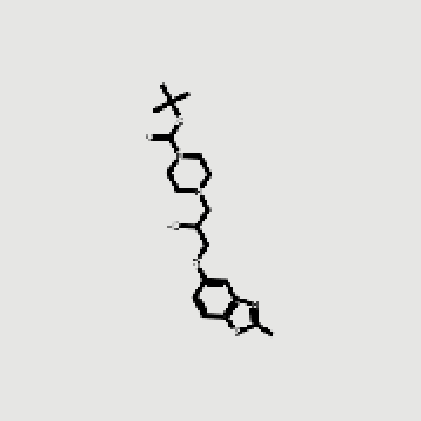 Cc1nc2cc(OCC(O)CN3CCN(C(=O)OC(C)(C)C)CC3)ccc2s1